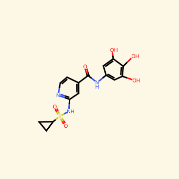 O=C(Nc1cc(O)c(O)c(O)c1)c1ccnc(NS(=O)(=O)C2CC2)c1